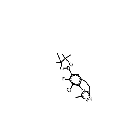 Cc1nnc2n1-c1c(cc(B3OC(C)(C)C(C)(C)O3)c(F)c1Cl)CC2